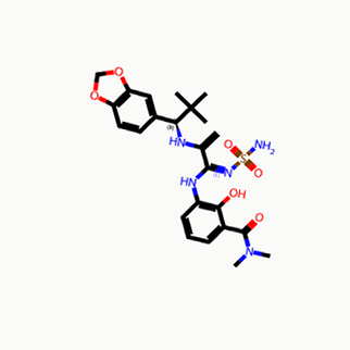 C=C(N[C@@H](c1ccc2c(c1)OCO2)C(C)(C)C)/C(=N\S(N)(=O)=O)Nc1cccc(C(=O)N(C)C)c1O